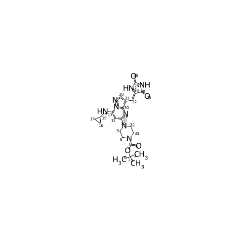 CC(C)(C)OC(=O)N1CCN(c2cc(NC3CC3)n3ncc(C=C4NC(=O)NC4=O)c3n2)CC1